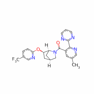 Cc1cnc(-c2ncccn2)c(C(=O)N2C[C@H]3C[C@@H](Oc4ccc(C(F)(F)F)cn4)[C@@H]2C3)c1